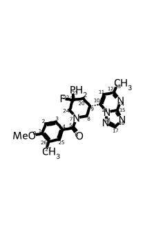 COc1ccc(C(=O)N2C[C@@H](c3cc(C)nc4ncnn34)CC(F)(P)C2)cc1C